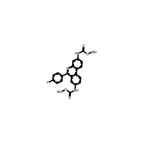 CC(C)(C)OC(=O)Nc1ccc2c(c1)nc(-c1ccc(F)cc1)c1cc(NC(=O)OC(C)(C)C)ccc12